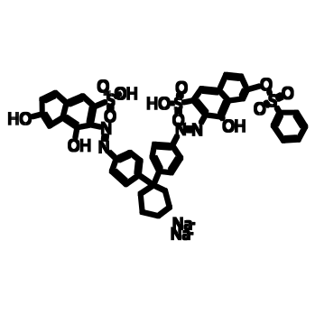 O=S(=O)(O)c1cc2ccc(O)cc2c(O)c1N=Nc1ccc(C2(c3ccc(N=Nc4c(S(=O)(=O)O)cc5ccc(OS(=O)(=O)c6ccccc6)cc5c4O)cc3)CCCCC2)cc1.[Na].[Na]